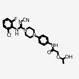 CC(O)OCC(=O)Nc1ccc(N2CCN(/C(=N\C#N)Nc3c(F)cccc3Cl)CC2)cc1